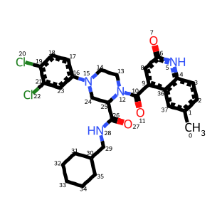 Cc1ccc2[nH]c(=O)cc(C(=O)N3CCN(c4ccc(Cl)c(Cl)c4)CC3C(=O)NCC3CCCCC3)c2c1